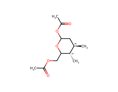 CC(=O)OCC1OC(OC(C)=O)C[C@@H](C)[C@@H]1C